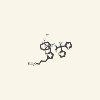 CCOC(=O)CCCc1ccc(C[N@+]2(C)[C@@H]3CC[C@H]2C[C@@H](OC(=O)C(O)(c2cccs2)c2cccs2)C3)s1.[Cl-]